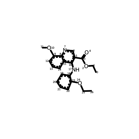 CCOC(=O)c1cnc2c(OC)cccc2c1Nc1ccccc1OCC